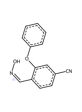 N#Cc1ccc(/C=N\O)c(Oc2ccccc2)c1